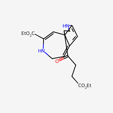 CCOC(=O)CCC(=O)C1CNC2=CC=CC3=CCNC(C(=O)OCC)=CC321